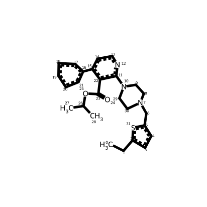 CCc1ccc(CN2CCN(c3nccc(-c4ccccc4)c3C(=O)OC(C)C)CC2)s1